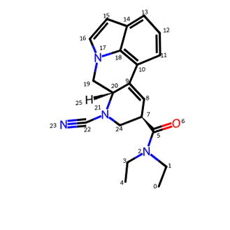 CCN(CC)C(=O)[C@@H]1C=C2c3cccc4ccn(c34)C[C@H]2N(C#N)C1